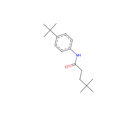 CC(C)(C)CCC(=O)Nc1ccc(C(C)(C)C)cc1